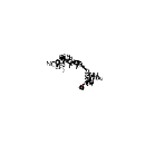 CC(C)(C)C(NC(=O)COCCCCOc1ccc(-c2ncc(N3C(=S)N(c4ccc(C#N)c(C(F)(F)F)c4F)C(=O)C3(C)C)cc2F)cc1F)C(=O)N1CCCC1C(=O)NCc1ccccc1